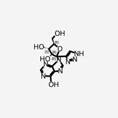 OC[C@H]1O[C@@](c2c[nH]nn2)(n2cnc3c(O)ncnc32)[C@H](O)[C@@H]1O